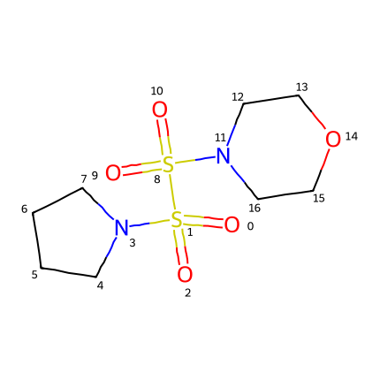 O=S(=O)(N1CCCC1)S(=O)(=O)N1CCOCC1